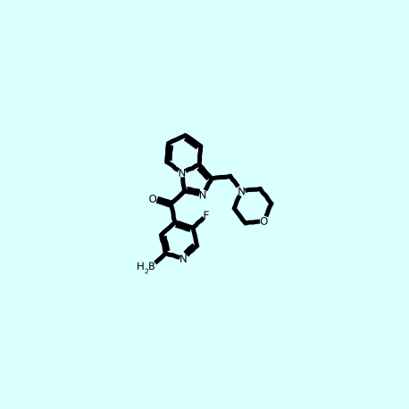 Bc1cc(C(=O)c2nc(CN3CCOCC3)c3ccccn23)c(F)cn1